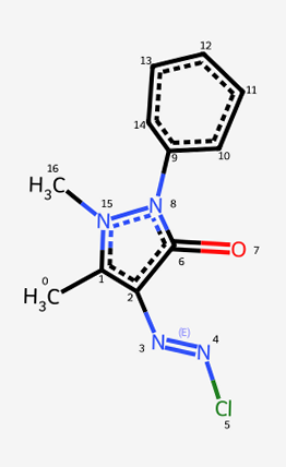 Cc1c(/N=N/Cl)c(=O)n(-c2ccccc2)n1C